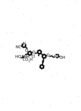 Cc1c(COc2cc(OCc3cncc(C#N)c3)c(CN[C@](C)(CO)C(=O)O)cc2Cl)cccc1-c1cc(C#Cc2ccccc2)cc(OCCCN2CC[C@@H](O)C2)c1